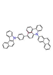 c1ccc(-c2ccccc2N(c2ccc(-c3ccc(-n4c5ccccc5c5c6ccccc6ccc54)cc3)cc2)c2ccc3c(ccc4ccccc43)c2)cc1